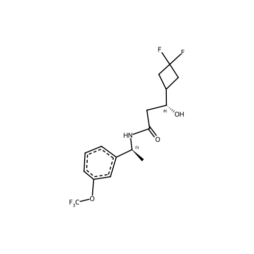 C[C@H](NC(=O)C[C@@H](O)C1CC(F)(F)C1)c1cccc(OC(F)(F)F)c1